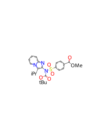 COC(=O)c1ccc(S(=O)(=O)N(C(=O)OC(C)(C)C)c2nc3ccccn3c2C(C)C)cc1